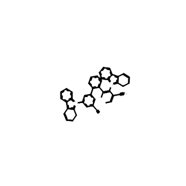 C/C=C(C#N)\C(=C(/C)c1ccccc1-c1cc(C#N)cc(-n2c3c(c4ccccc42)C=CCC3)c1)n1c2c(c3ccccc31)C=CCC2